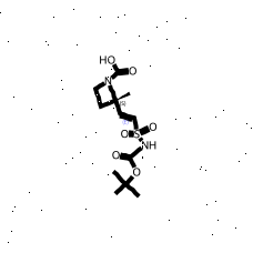 CC(C)(C)OC(=O)NS(=O)(=O)/C=C/[C@]1(C)CCN1C(=O)O